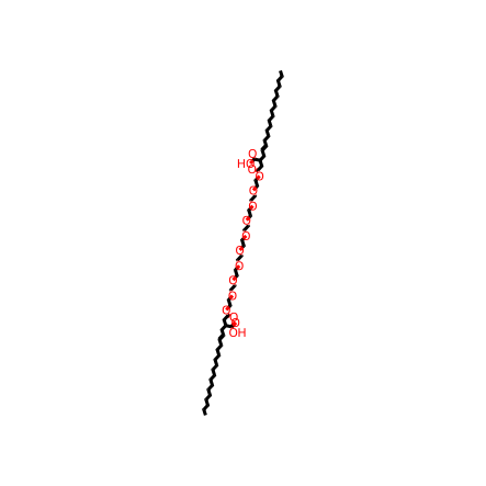 CCCCCCCCCCCCCCC/C=C/CC(CC(=O)OCCOCCOCCOCCOCCOCCOCCOCCOCCOC(=O)CC(C/C=C/CCCCCCCCCCCCCCC)C(=O)O)C(=O)O